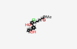 CCCC1(C(O)c2cccc([C@H]3[C@H](O)CC(Cl)[C@@H]3CC=CCCCC(=O)OC)c2)CCC1